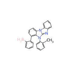 Bc1ccccc1-c1cccc2c1n(-c1ccccc1C)c1nc3ccccc3n21